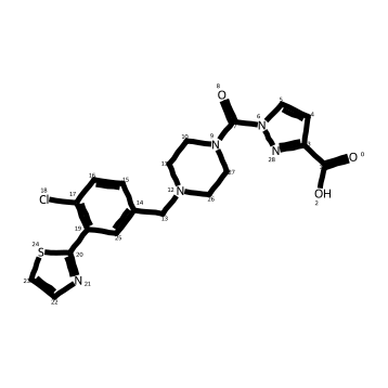 O=C(O)c1ccn(C(=O)N2CCN(Cc3ccc(Cl)c(-c4nccs4)c3)CC2)n1